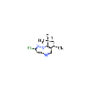 CC1(C)CC(C#N)c2cnc3cc(Cl)nn3c21